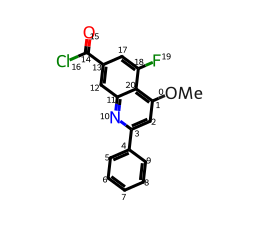 COc1cc(-c2ccccc2)nc2cc(C(=O)Cl)cc(F)c12